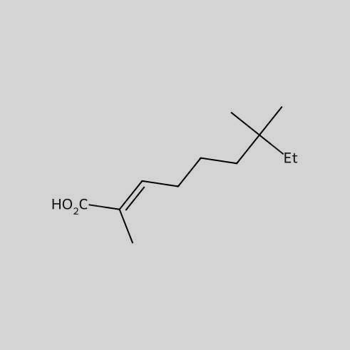 CCC(C)(C)CCCC=C(C)C(=O)O